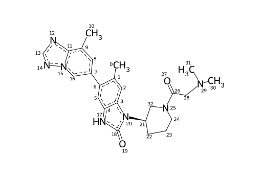 Cc1cc2c(cc1-c1cc(C)c3ncnn3c1)[nH]c(=O)n2[C@@H]1CCCN(C(=O)CN(C)C)C1